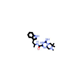 CC(Cc1c[nH]c2ccccc12)NC(=O)C(=N)NC(=N)N1CCN(C)C(C)(C)C1